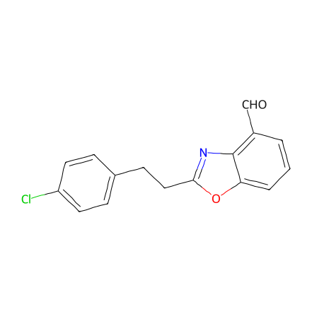 O=Cc1cccc2oc(CCc3ccc(Cl)cc3)nc12